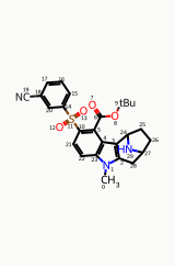 Cn1c2c(c3c(C(=O)OC(C)(C)C)c(S(=O)(=O)c4cccc(C#N)c4)ccc31)C1CCC(C2)N1